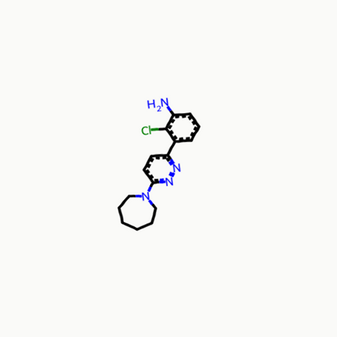 Nc1cccc(-c2ccc(N3CCCCCC3)nn2)c1Cl